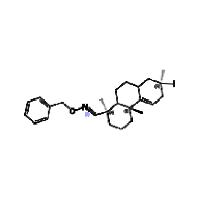 C[C@]1(I)CC=C2C(CCC3[C@@]2(C)CCC[C@@]3(C)/C=N/OCc2ccccc2)C1